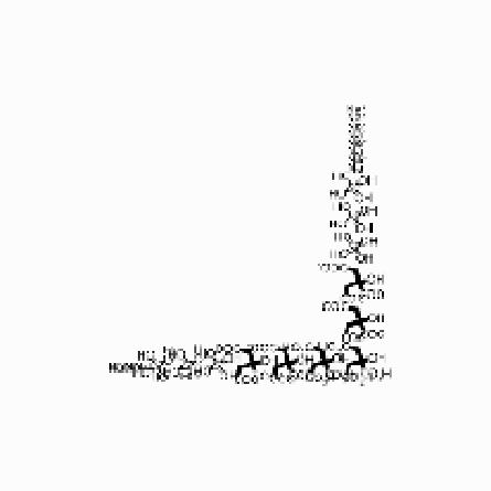 O=C(O)CC(O)(CC(=O)O)C(=O)O.O=C(O)CC(O)(CC(=O)O)C(=O)O.O=C([O-])CC(O)(CC(=O)[O-])C(=O)[O-].O=C([O-])CC(O)(CC(=O)[O-])C(=O)[O-].O=C([O-])CC(O)(CC(=O)[O-])C(=O)[O-].O=C([O-])CC(O)(CC(=O)[O-])C(=O)[O-].O[Si](O)(O)O.O[Si](O)(O)O.O[Si](O)(O)O.O[Si](O)(O)O.O[Si](O)(O)O.O[Si](O)(O)O.[Na+].[Na+].[Na+].[Na+].[Na+].[Na+].[Na+].[Na+].[Na+].[Na+].[Na+].[Na+]